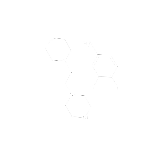 C1CN(CCN2CCOCC2)CCN1.Nc1ccc(F)c(Cl)c1